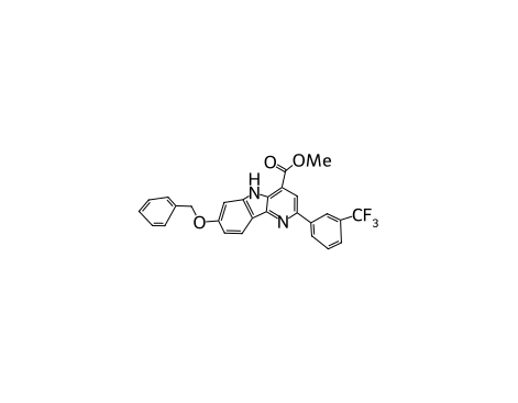 COC(=O)c1cc(-c2cccc(C(F)(F)F)c2)nc2c1[nH]c1cc(OCc3ccccc3)ccc12